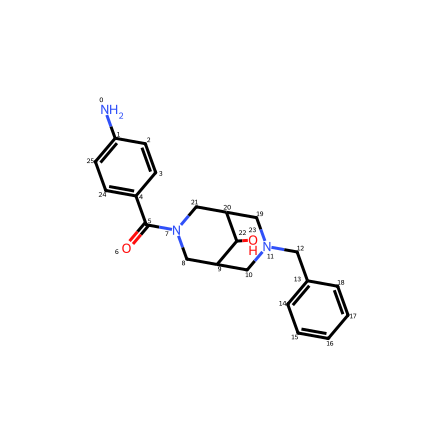 Nc1ccc(C(=O)N2CC3CN(Cc4ccccc4)CC(C2)C3O)cc1